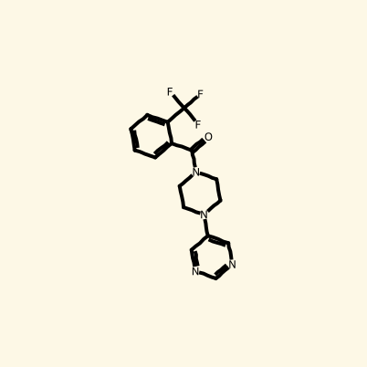 O=C(c1ccccc1C(F)(F)F)N1CCN(c2cncnc2)CC1